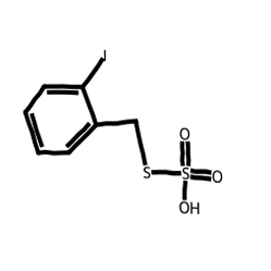 O=S(=O)(O)SCc1ccccc1I